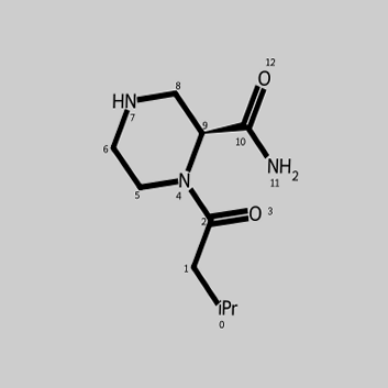 CC(C)CC(=O)N1CCNC[C@H]1C(N)=O